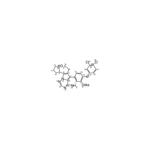 COc1cc(-c2c(CC(=O)O)c(C3CCCC3)n3ncnc(N)c23)ccc1Oc1ccc(Cl)c(Cl)c1